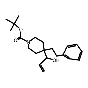 C=CC(O)C1(CCc2ccccc2)CCN(C(=O)OC(C)(C)C)CC1